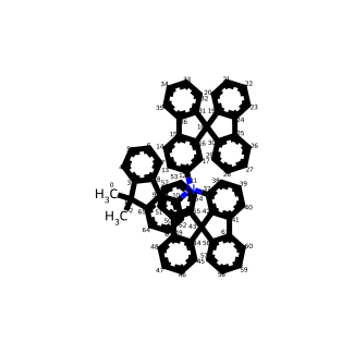 CC1(C)c2ccccc2-c2c(N(c3ccc4c(c3)C3(c5ccccc5-c5ccccc53)c3ccccc3-4)c3cccc4c3C3(c5ccccc5-c5ccccc53)c3ccccc3-4)cccc21